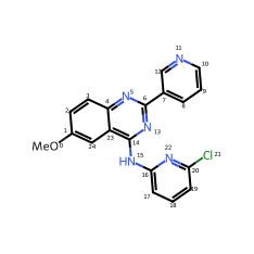 COc1ccc2nc(-c3cccnc3)nc(Nc3cccc(Cl)n3)c2c1